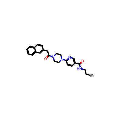 CC(C)CCNC(=O)c1ccc(N2CCN(C(=O)Cc3ccc4ccccc4c3)CC2)nc1